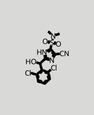 CN(C)S(=O)(=O)c1[nH]c(C(O)c2c(Cl)cccc2Cl)nc1C#N